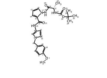 COc1ccc(Cn2cc(NC(=O)c3cccn3NC(=O)[C@H](C)NC(=O)OC(C)(C)C)cn2)cc1